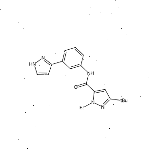 CCn1nc(C(C)(C)C)cc1C(=O)Nc1cccc(-c2cc[nH]n2)c1